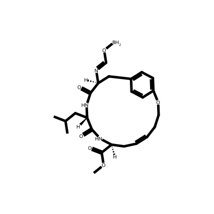 BOC=N[C@H]1Cc2ccc(cc2)OCCC=CC[C@@H](C(=O)OC)NC(=O)[C@H](CC(C)C)NC1=O